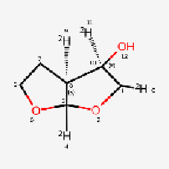 [2H]C1OC2([2H])OCC[C@@]2([2H])[C@@]1([2H])O